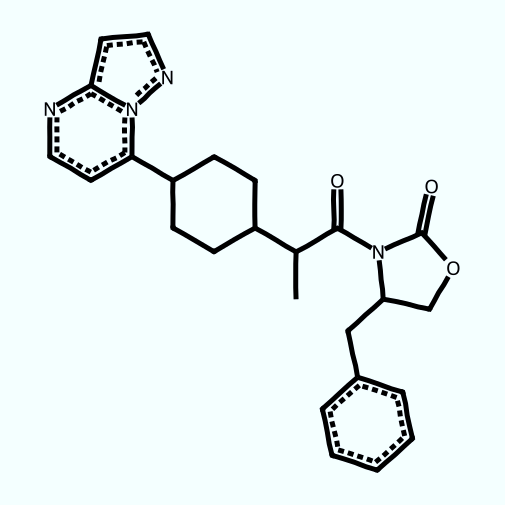 CC(C(=O)N1C(=O)OCC1Cc1ccccc1)C1CCC(c2ccnc3ccnn23)CC1